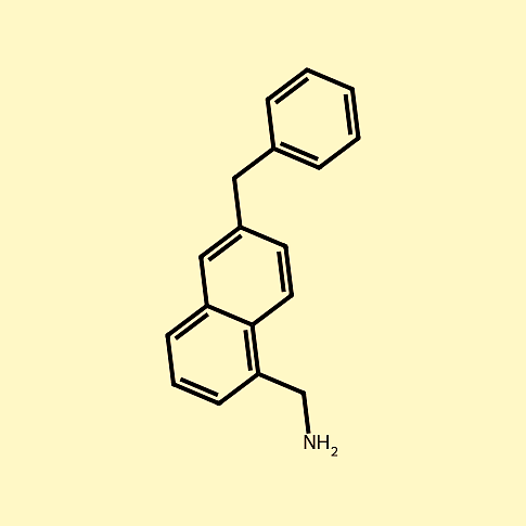 NCc1cccc2cc(Cc3ccccc3)ccc12